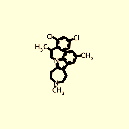 C/C(=C/n1c2c(c3cc(C)ccc31)CCN(C)CC2)c1ccc(Cl)cc1Cl